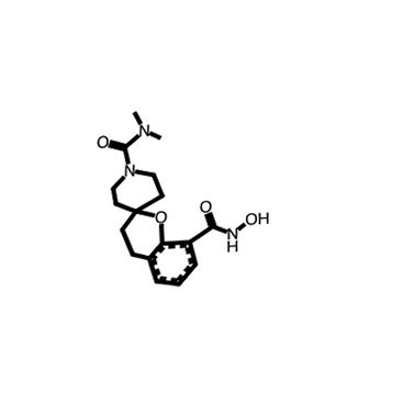 CN(C)C(=O)N1CCC2(CCc3cccc(C(=O)NO)c3O2)CC1